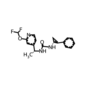 C[C@@H](NC(=O)N[C@@H]1C=C1c1ccccc1)c1ccnc(OC(F)F)c1